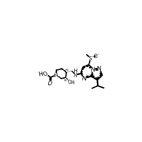 CC(C)c1cnn2c([S+](C)[O-])cc(NC[C@H]3CCN(C(=O)O)C[C@@H]3O)nc12